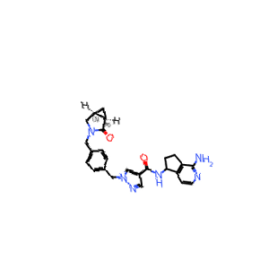 Nc1nccc2c1CCC2NC(=O)c1cnn(Cc2ccc(CN3C[C@H]4C[C@H]4C3=O)cc2)c1